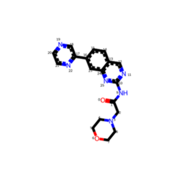 O=C(CN1CCOCC1)Nc1ncc2ccc(-c3cnccn3)cc2n1